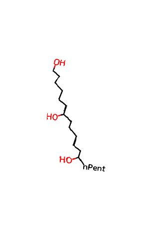 CCCCCC(O)CCCCCC(O)CCCCCCO